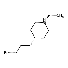 CC[Si@H]1CC[C@H](CCCBr)CC1